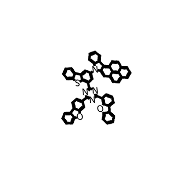 c1cc2ccc3cc4c(c5ccc(c1)c2c35)c1ccccc1n4-c1cc(-c2nc(-c3ccc4c(c3)oc3ccccc34)nc(-c3cccc4c3oc3ccccc34)n2)c2sc3ccccc3c2c1